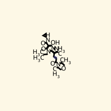 Cc1nn2c(O)c(C(=O)NC3CC3)c(=O)n(CC(C)C)c2c1/C=C/C(=O)N1C(C)COC[C@H]1C